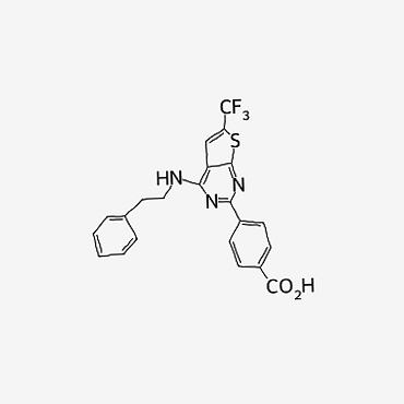 O=C(O)c1ccc(-c2nc(NCCc3ccccc3)c3cc(C(F)(F)F)sc3n2)cc1